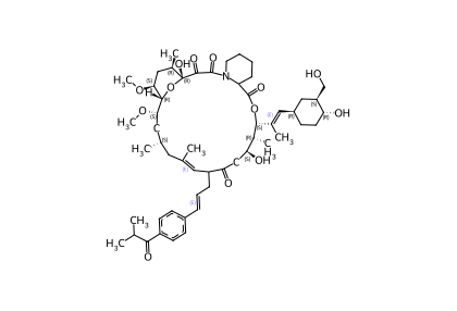 CO[C@H]1C[C@@H](C)C/C(C)=C/C(C/C=C/c2ccc(C(=O)C(C)C)cc2)C(=O)C[C@H](O)[C@@H](C)[C@@H](/C(C)=C/[C@@H]2CC[C@@H](O)[C@H](CO)C2)OC(=O)C2CCCCN2C(=O)C(=O)[C@]2(O)O[C@H]1[C@@H](OC)C[C@H]2C